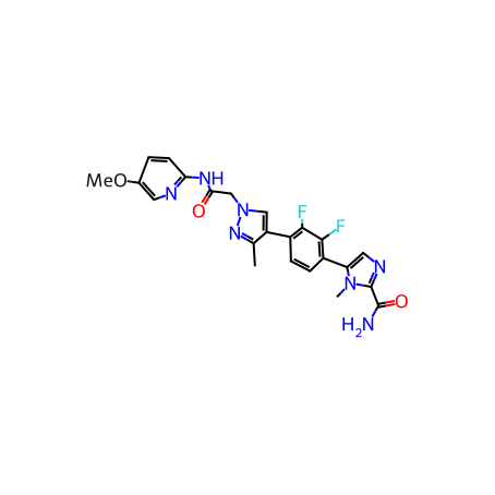 COc1ccc(NC(=O)Cn2cc(-c3ccc(-c4cnc(C(N)=O)n4C)c(F)c3F)c(C)n2)nc1